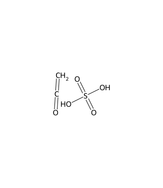 C=C=O.O=S(=O)(O)O